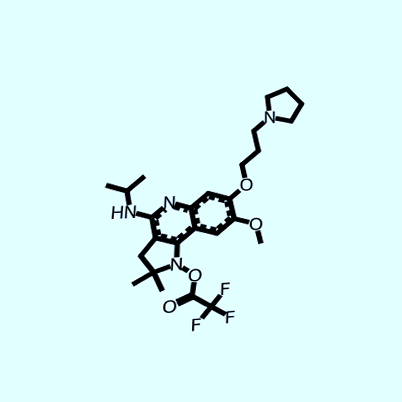 COc1cc2c3c(c(NC(C)C)nc2cc1OCCCN1CCCC1)CC(C)(C)N3OC(=O)C(F)(F)F